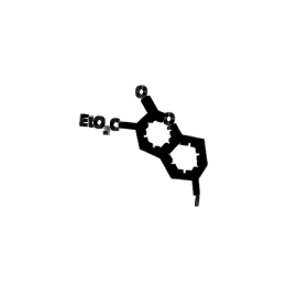 CCOC(=O)c1cc2cc(I)ccc2oc1=O